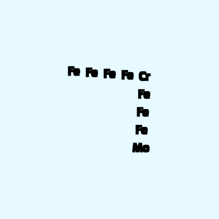 [Cr].[Fe].[Fe].[Fe].[Fe].[Fe].[Fe].[Fe].[Mo]